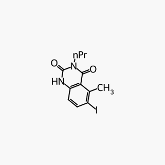 CCCn1c(=O)[nH]c2ccc(I)c(C)c2c1=O